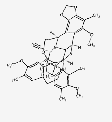 COc1cc2c(cc1O)CCN[C@]21CS[C@@H]2c3c(OC)c(C)c4c(c3[C@H](COC1=O)N1C2[C@H]2c3c(cc(C)c(OC)c3O)C[C@@H]([C@@H]1C#N)N2C)OCO4